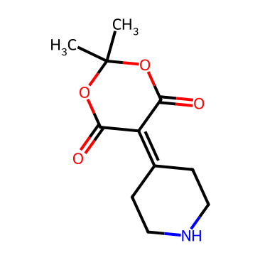 CC1(C)OC(=O)C(=C2CCNCC2)C(=O)O1